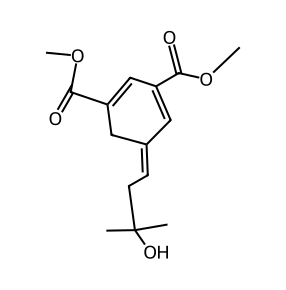 COC(=O)C1=CC(=CCC(C)(C)O)CC(C(=O)OC)=C1